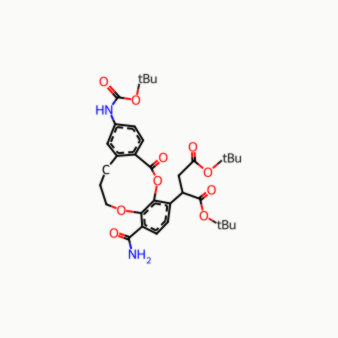 CC(C)(C)OC(=O)CC(C(=O)OC(C)(C)C)c1ccc(C(N)=O)c2c1OC(=O)c1ccc(NC(=O)OC(C)(C)C)cc1CCCO2